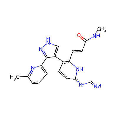 CNC(=O)/C=C/c1[nH]/c(=N\C=N)ccc1-c1c[nH]nc1-c1cccc(C)n1